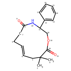 CC1(C)C/C=C/CCC(=O)NC(c2ccccc2)COC1=O